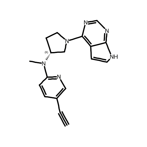 C#Cc1ccc(N(C)[C@@H]2CCN(c3ncnc4[nH]ccc34)C2)nc1